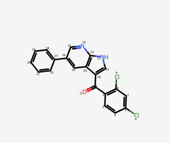 O=C(c1ccc(Cl)cc1Cl)c1c[nH]c2ncc(-c3ccccc3)cc12